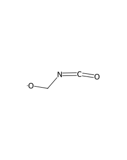 [O]CN=C=O